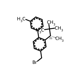 Cc1cccc(-c2ccc(CBr)cc2[C@@H](C)C(C)(C)C)c1